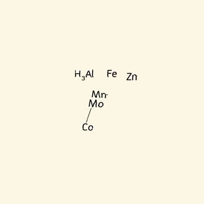 [AlH3].[Co][Mo].[Fe].[Mn].[Zn]